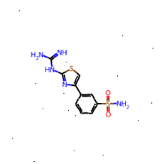 N=C(N)Nc1nc(-c2cccc(S(N)(=O)=O)c2)cs1